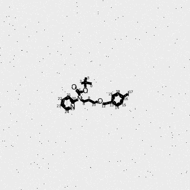 CC(C)(C)OC(=O)N(CCCOCc1ccc(I)cc1)c1ccccn1